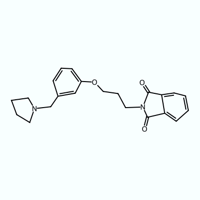 O=C1c2ccccc2C(=O)N1CCCOc1cccc(CN2CCCC2)c1